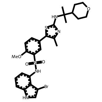 COc1ccc(-c2sc(NC(C)(C)C3CCOCC3)nc2C)cc1S(=O)(=O)Nc1cccc2[nH]cc(Br)c12